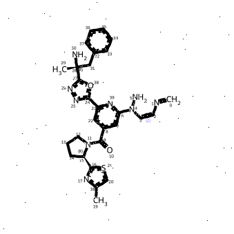 C=N/C=C\N(N)c1cc(C(=O)N2CCC[C@@H]2c2nc(C)cs2)cc(-c2nnc([C@](C)(N)Cc3ccccc3)o2)n1